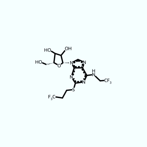 OC[C@H]1O[C@@H](n2cnc3c(NCC(F)(F)F)nc(SCCC(F)(F)F)nc32)C(O)C1O